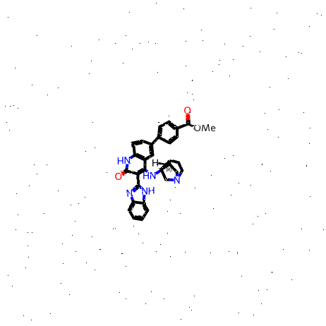 COC(=O)c1ccc(-c2ccc3[nH]c(=O)c(-c4nc5ccccc5[nH]4)c(N[C@H]4CN5CCC4CC5)c3c2)cc1